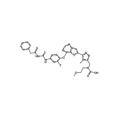 COCCN(Cc1cnc(-c2cc3nccc(Oc4ccc(NC(=S)NC(=O)Cc5ccccc5)cc4F)c3s2)n1C)C(=O)O